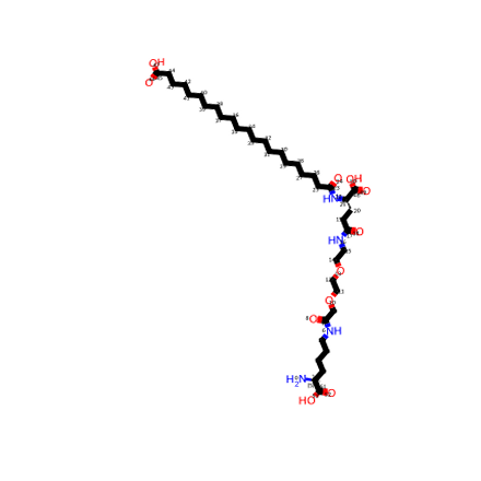 N[C@@H](CCCCNC(=O)COCCOCCNC(=O)CC[C@H](NC(=O)CCCCCCCCCCCCCCCCCCCCC(=O)O)C(=O)O)C(=O)O